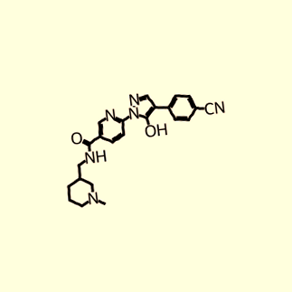 CN1CCCC(CNC(=O)c2ccc(-n3ncc(-c4ccc(C#N)cc4)c3O)nc2)C1